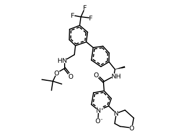 C[C@@H](NC(=O)c1cc[n+]([O-])c(N2CCOCC2)c1)c1ccc(-c2cc(C(F)(F)F)ccc2CNC(=O)OC(C)(C)C)cc1